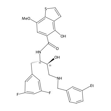 CCc1cccc(CNC[C@H](O)[C@H](Cc2cc(F)cc(F)c2)NC(=O)c2cc(OC)c3sccc3c2O)c1